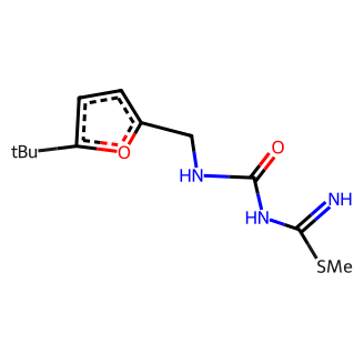 CSC(=N)NC(=O)NCc1ccc(C(C)(C)C)o1